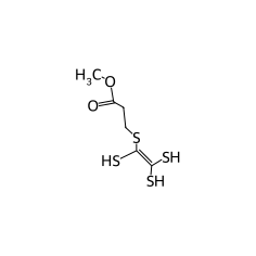 COC(=O)CCSC(S)=C(S)S